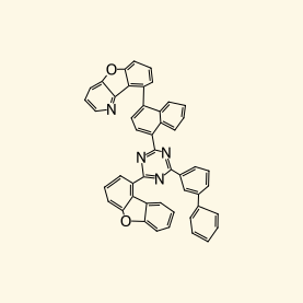 c1ccc(-c2cccc(-c3nc(-c4ccc(-c5cccc6oc7cccnc7c56)c5ccccc45)nc(-c4cccc5oc6ccccc6c45)n3)c2)cc1